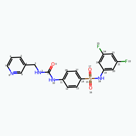 O=C(NCc1cccnc1)Nc1ccc(S(=O)(=O)Nc2cc(F)cc(F)c2)cc1